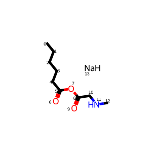 CCCCCC(=O)OC(=O)CNC.[NaH]